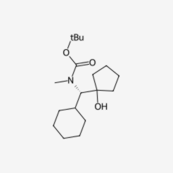 CN(C(=O)OC(C)(C)C)[C@@H](C1CCCCC1)C1(O)CCCC1